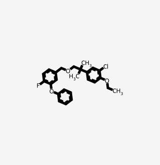 CCOc1ccc(C(C)(C)COCc2ccc(F)c(Oc3ccccc3)c2)cc1Cl